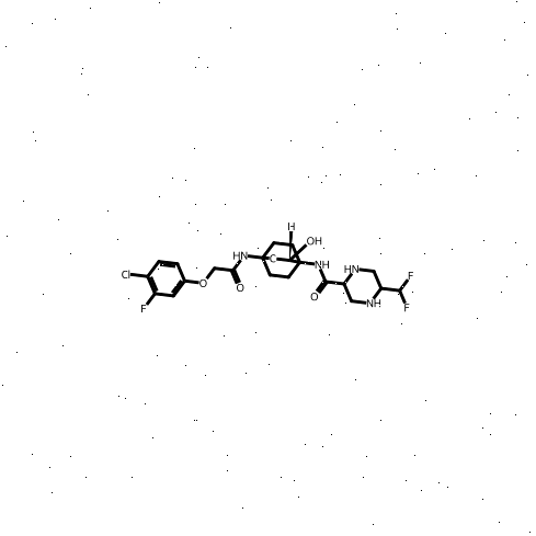 O=C(COc1ccc(Cl)c(F)c1)NC12CCC(NC(=O)C3CNC(C(F)F)CN3)(CC1)[C@@H](O)C2